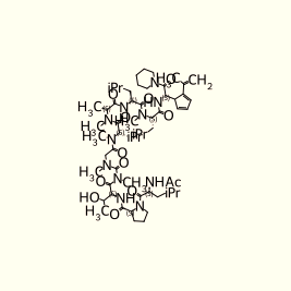 C=C(C)C1=CC=CC1[C@H](NC(=O)[C@H](CC(C)C)N(C)C(=O)[C@H](CC(C)C)NC(=O)[C@H](C)N(C)C(=O)[C@H](C(C)C)N(C)C(=O)CN(C)C(=O)N(C)C(=O)[C@@H](NC(=O)[C@@H]1CCCN1C(=O)[C@H](CC(C)C)NC(C)=O)C(C)O)C(=O)N1CCCCC1